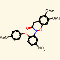 COc1ccc(Oc2ccc([N+](=O)[O-])cc2N2Oc3cc(OC)c(OC)cc3CC2=O)cc1